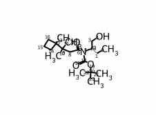 CC[C@@H](CO)N(C(=O)CC(C)(C)C1(C)CCC1)C(=O)OC(C)(C)C